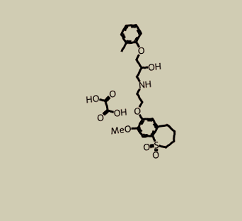 COc1cc2c(cc1OCCNCC(O)COc1ccccc1C)CCCCS2(=O)=O.O=C(O)C(=O)O